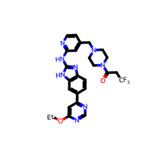 CCOc1cc(-c2ccc3nc(Nc4cc(CN5CCN(C(=O)CC(F)(F)F)CC5)ccn4)[nH]c3c2)ncn1